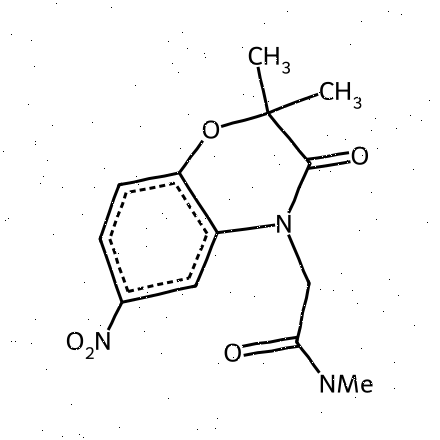 CNC(=O)CN1C(=O)C(C)(C)Oc2ccc([N+](=O)[O-])cc21